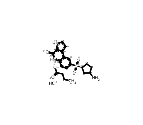 CCCC(=O)O.Cl.NC1CC[C@H](S(=O)(=O)c2ccc3[nH]c(=O)c4[nH]ccc4c3c2)C1